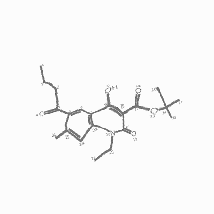 CCCC(=O)c1cc2c(O)c(C(=O)OC(C)(C)C)c(=O)n(CC)c2cc1C